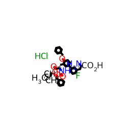 C[Si](C)(C)CCOC(=O)[C@H](Cc1cc(-c2ccc(F)c(C[C@H](N)C(=O)O)c2)ccc1OCc1ccccc1)NC(=O)OCc1ccccc1.Cl